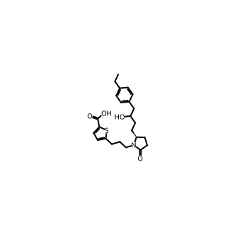 CCc1ccc(CC(O)CC[C@H]2CCC(=O)N2CCCc2ccc(C(=O)O)s2)cc1